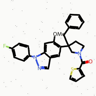 COc1cc2c(cnn2-c2ccc(F)cc2)cc1C1(Cc2ccccc2)CCN(C(=O)c2cccs2)C1